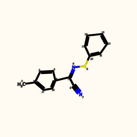 Cc1ccc(C(C#N)=NSc2ccccc2)cc1